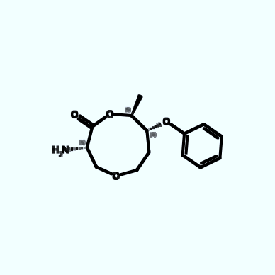 C[C@@H]1OC(=O)[C@@H](N)COCC[C@H]1Oc1ccccc1